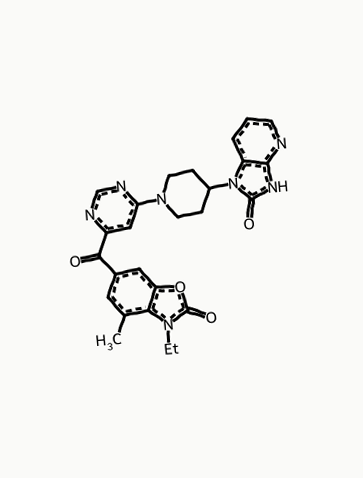 CCn1c(=O)oc2cc(C(=O)c3cc(N4CCC(n5c(=O)[nH]c6ncccc65)CC4)ncn3)cc(C)c21